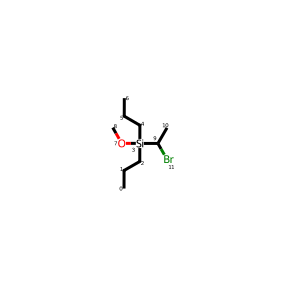 CCC[Si](CCC)(OC)C(C)Br